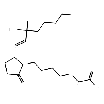 CCCCCC(C)(O)C=C[C@H]1CCC(=O)[C@@H]1CCCCSCC(=O)O